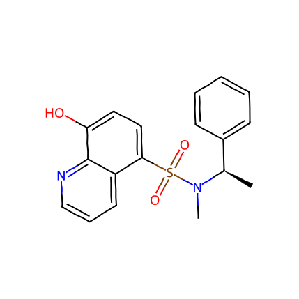 C[C@H](c1ccccc1)N(C)S(=O)(=O)c1ccc(O)c2ncccc12